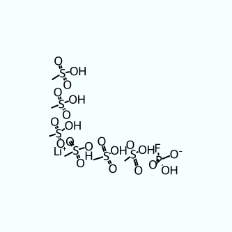 CS(=O)(=O)O.CS(=O)(=O)O.CS(=O)(=O)O.CS(=O)(=O)O.CS(=O)(=O)O.CS(=O)(=O)O.O=P([O-])(O)F.[Li+]